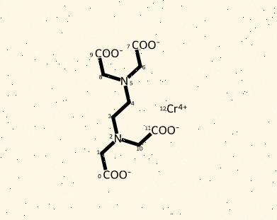 O=C([O-])CN(CCN(CC(=O)[O-])CC(=O)[O-])CC(=O)[O-].[Cr+4]